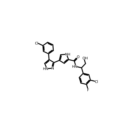 O=C(NC(CO)c1ccc(F)c(Cl)c1)c1cc(-c2n[nH]cc2-c2cccc(Cl)c2)c[nH]1